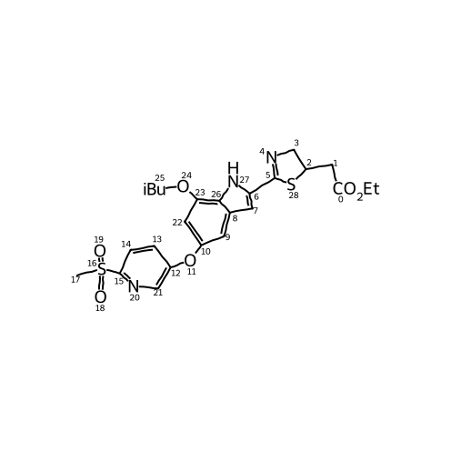 CCOC(=O)CC1CN=C(c2cc3cc(Oc4ccc(S(C)(=O)=O)nc4)cc(OC(C)CC)c3[nH]2)S1